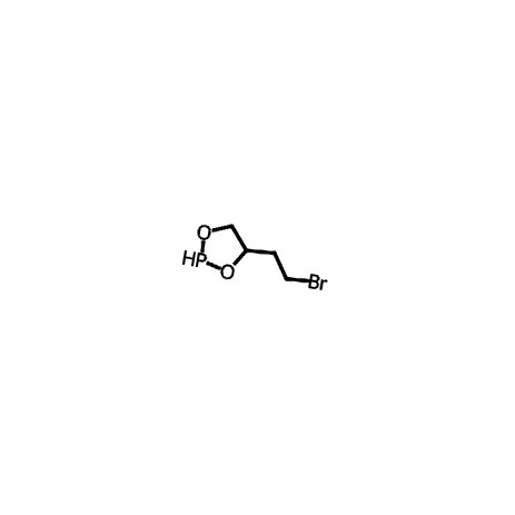 BrCCC1COPO1